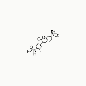 CCN(CC)c1ccc2cc(-c3ccc(NC(=O)CI)c(C)c3)c(=O)oc2c1